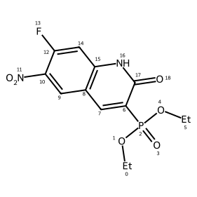 CCOP(=O)(OCC)c1cc2cc([N+](=O)[O-])c(F)cc2[nH]c1=O